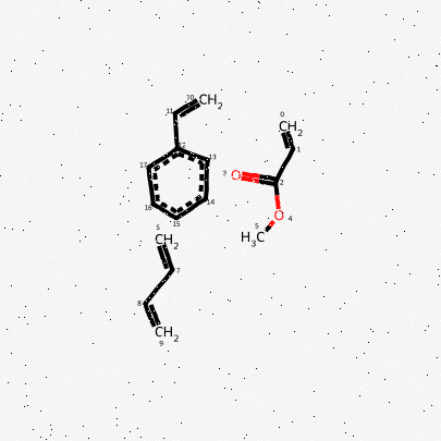 C=CC(=O)OC.C=CC=C.C=Cc1ccccc1